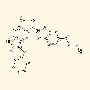 O=C(c1cc2c(CC3CCCCC3)n[nH]c2cc1O)N1Cc2ccc(OCCO)cc2C1